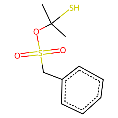 CC(C)(S)OS(=O)(=O)Cc1ccccc1